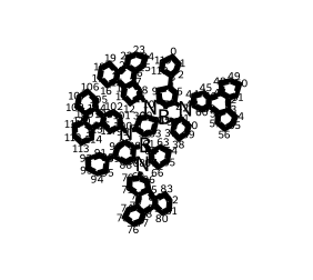 c1ccc(-c2cc3c4c(c2)N(c2ccc5c6ccccc6c6ccccc6c5c2)c2cc5c(cc2B4c2ccccc2N3c2ccc3c4ccccc4c4ccccc4c3c2)B2c3ccccc3N(c3ccc4c6ccccc6c6ccccc6c4c3)c3cc(-c4ccccc4)cc(c32)N5c2ccc3c4ccccc4c4ccccc4c3c2)cc1